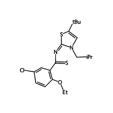 CCOc1ccc(Cl)cc1C(=S)N=c1sc(C(C)(C)C)cn1CC(C)C